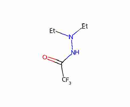 CCN(CC)NC(=O)C(F)(F)F